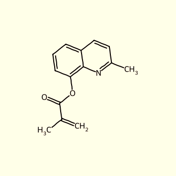 C=C(C)C(=O)Oc1cccc2ccc(C)nc12